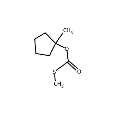 CSC(=O)OC1(C)CCCC1